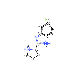 Fc1ccc2[nH]c(C3CCCN3)nc2c1